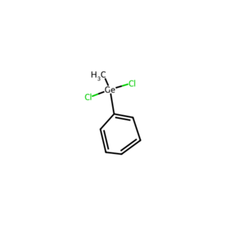 [CH3][Ge]([Cl])([Cl])[c]1ccccc1